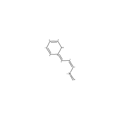 C=N/C=C\C=C1\C=CC=CC1